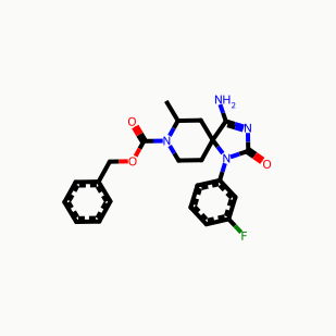 CC1CC2(CCN1C(=O)OCc1ccccc1)C(N)=NC(=O)N2c1cccc(F)c1